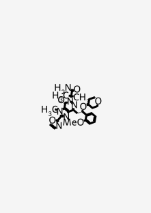 COc1ccccc1[C@H](Cc1nn(C(C)(C)C(N)=O)c(=O)c2c1nc(-c1ncco1)n2C)OC1CCOCC1